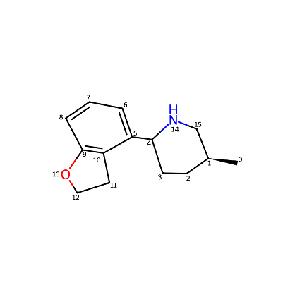 C[C@H]1CCC(c2cccc3c2CCO3)NC1